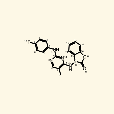 Cc1cnc(Nc2ccc(F)cc2)nc1Nn1c(=O)oc2ccccc21